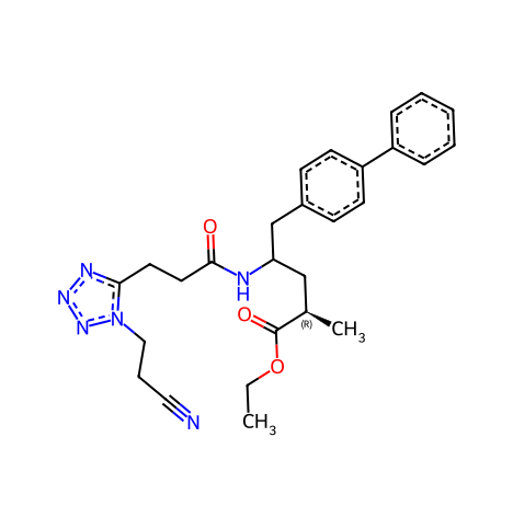 CCOC(=O)[C@H](C)CC(Cc1ccc(-c2ccccc2)cc1)NC(=O)CCc1nnnn1CCC#N